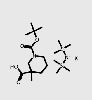 CC(C)(C)OC(=O)N1CCCC(C)(C(=O)O)C1.C[Si](C)(C)[N-][Si](C)(C)C.[K+]